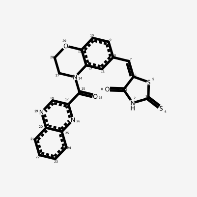 O=C1NC(=S)SC1=Cc1ccc2c(c1)N(C(=O)c1cnc3ccccc3n1)CCO2